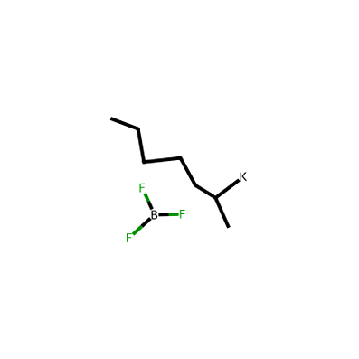 CCCCC[CH](C)[K].FB(F)F